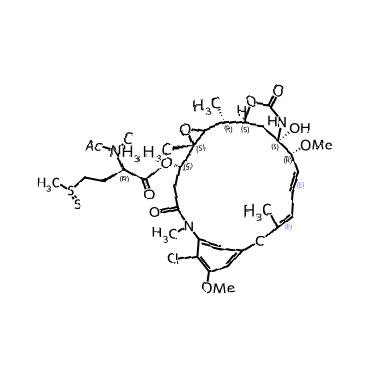 COc1cc2cc(c1Cl)N(C)C(=O)C[C@H](OC(=O)[C@@H](CCS(C)=S)N(C)C(C)=O)[C@]1(C)OC1[C@H](C)[C@@H]1C[C@@](O)(NC(=O)O1)[C@H](OC)/C=C/C=C(\C)C2